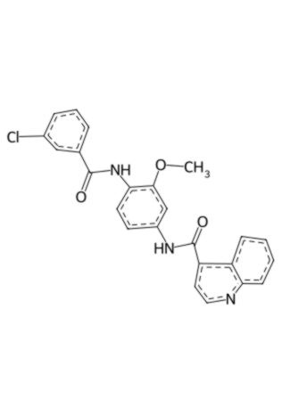 COc1cc(NC(=O)c2ccnc3ccccc23)ccc1NC(=O)c1cccc(Cl)c1